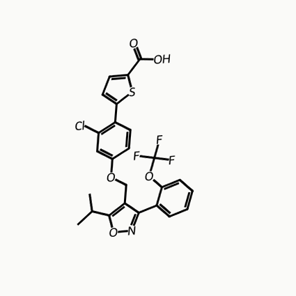 CC(C)c1onc(-c2ccccc2OC(F)(F)F)c1COc1ccc(-c2ccc(C(=O)O)s2)c(Cl)c1